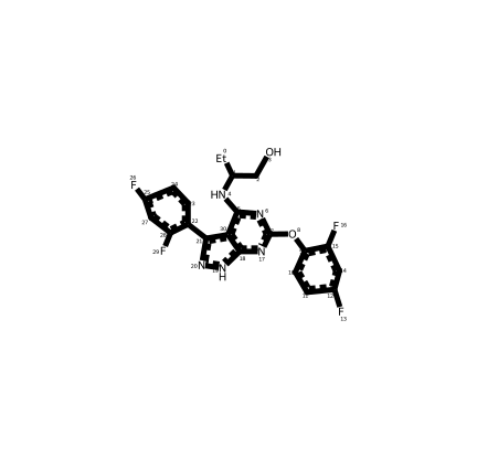 CCC(CO)Nc1nc(Oc2ccc(F)cc2F)nc2[nH]nc(-c3ccc(F)cc3F)c12